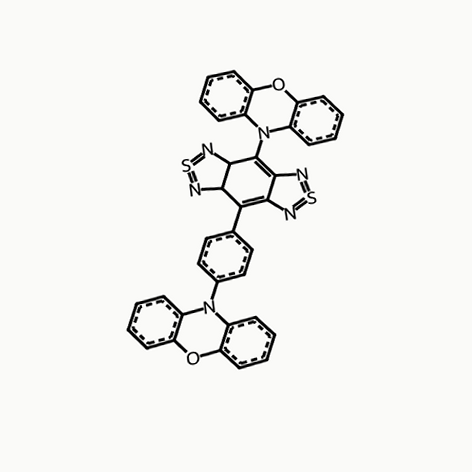 c1ccc2c(c1)Oc1ccccc1N2C1=C2N=S=NC2=C(c2ccc(N3c4ccccc4Oc4ccccc43)cc2)C2N=S=NC12